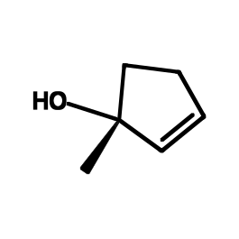 C[C@]1(O)C=CCC1